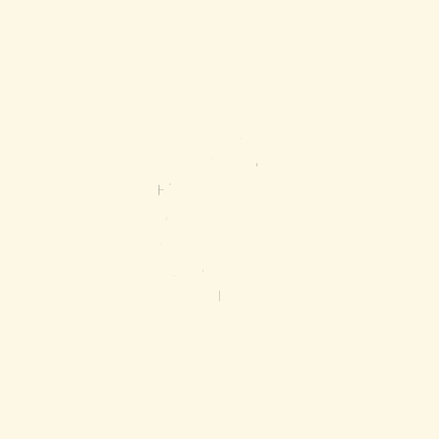 Fc1ccc(F)c(-c2c[c]oc2)c1